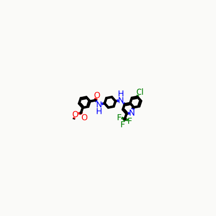 COC(=O)c1cccc(C(=O)NC2CCC(Nc3cc(C(F)(F)F)nc4ccc(Cl)cc34)CC2)c1